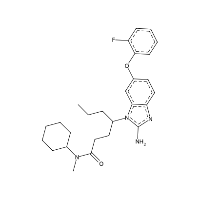 CCCC(CCC(=O)N(C)C1CCCCC1)n1c(N)nc2ccc(Oc3ccccc3F)cc21